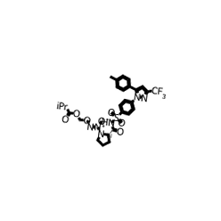 Cc1ccc(-c2cc(C(F)(F)F)nn2-c2ccc(S(=O)(=O)NC(=O)[C@@H]3CCCN3[N+]([O-])=NOCOC(=O)C(C)C)cc2)cc1